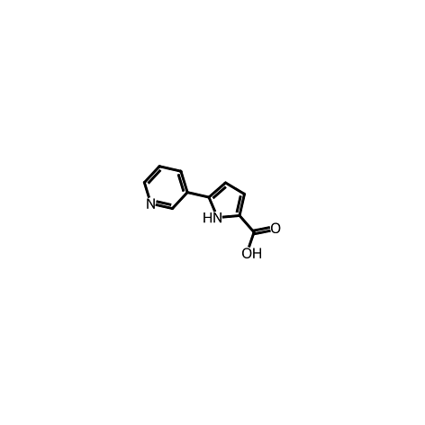 O=C(O)c1ccc(-c2cccnc2)[nH]1